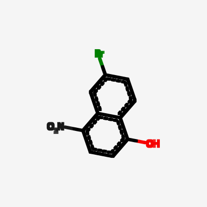 O=[N+]([O-])c1ccc(O)c2ccc(Br)cc12